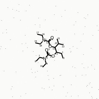 CCC(OC(=O)N(CC)CC)C(OC(=O)N(CC)CC)C(C)C